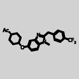 CC(=O)[C@H]1CC[C@@H](Oc2ccc3c(c2)nc(Cc2ccc(C(F)(F)F)cc2)n3C)CC1